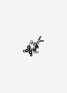 CCCCN(/C=N/c1nc(NC=O)nc2c1cnn2[C@H]1C[C@H](O)[C@@H](COC(c2ccccc2)(c2ccc(OC)cc2)c2ccc(OC)cc2)O1)CCCC